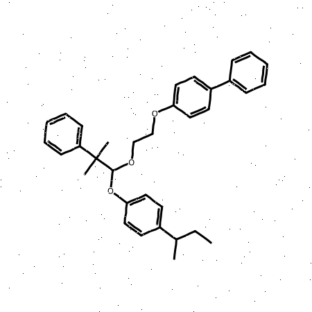 CCC(C)c1ccc(OC(OCCOc2ccc(-c3ccccc3)cc2)C(C)(C)c2ccccc2)cc1